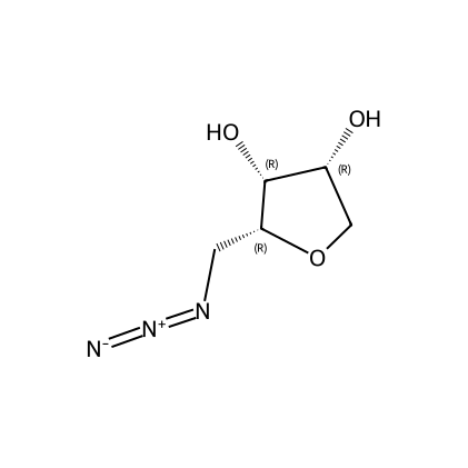 [N-]=[N+]=NC[C@H]1OC[C@@H](O)[C@H]1O